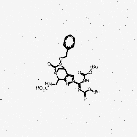 CC(C)(C)OC(=O)N=C(NC(=O)OC(C)(C)C)n1cc2c(n1)C(CNC(=O)O)N1CC2N(OCc2ccccc2)C1=O